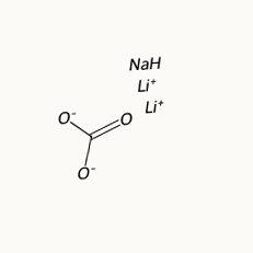 O=C([O-])[O-].[Li+].[Li+].[NaH]